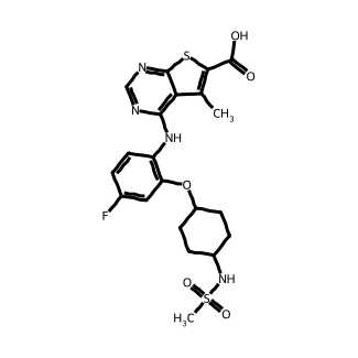 Cc1c(C(=O)O)sc2ncnc(Nc3ccc(F)cc3OC3CCC(NS(C)(=O)=O)CC3)c12